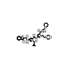 O=C(Nc1cc(C(=O)Nc2cc(C(=O)NCCN3CCCCC3)n(CCN3CCOCC3)c2)n(CC2CC2)c1)c1sc2ccccc2c1Cl